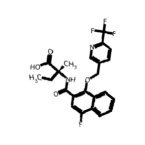 CC[C@@](C)(NC(=O)c1cc(F)c2ccccc2c1OCc1ccc(C(F)(F)F)nc1)C(=O)O